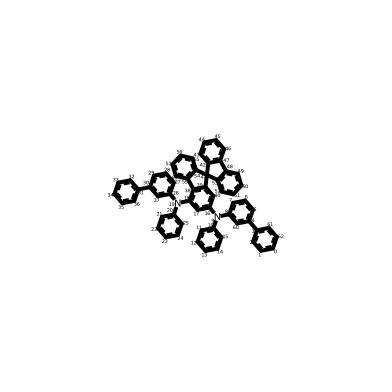 c1ccc(-c2cccc(N(c3ccccc3)c3cc(N(c4ccccc4)c4cccc(-c5ccccc5)c4)c4c(c3)C3(c5ccccc5-c5ccccc53)c3ccccc3-4)c2)cc1